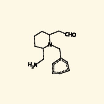 NCC1CCCC(CC=O)N1Cc1ccccc1